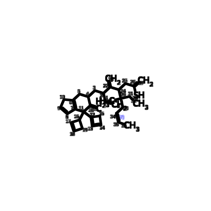 C=CC(CC1CC2=C(C=CC2)C(C2=C=CC2)(C2C=CC2)C1=C)C(=C)C(CC(=C)S)C(C)(CC)C/C=C\C